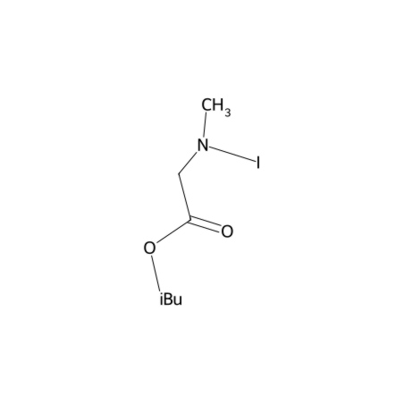 CCC(C)OC(=O)CN(C)I